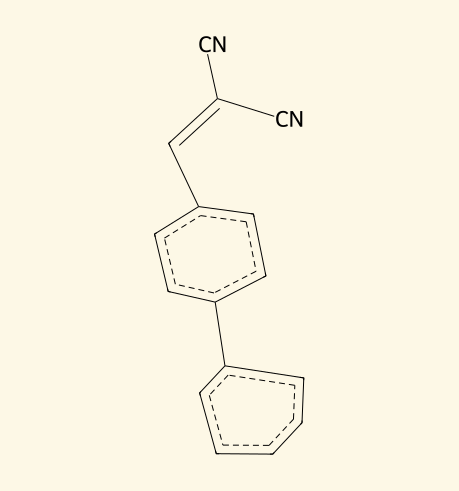 N#CC(C#N)=Cc1ccc(-c2ccccc2)cc1